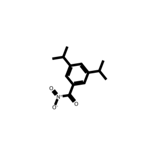 CC(C)c1cc(C(=O)[N+](=O)[O-])cc(C(C)C)c1